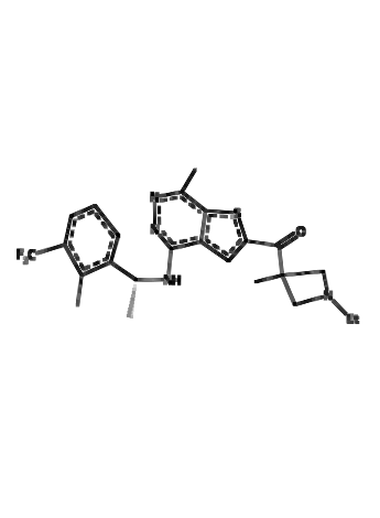 CCN1CC(C)(C(=O)c2cc3c(N[C@H](C)c4cccc(C(F)(F)F)c4C)nnc(C)c3s2)C1